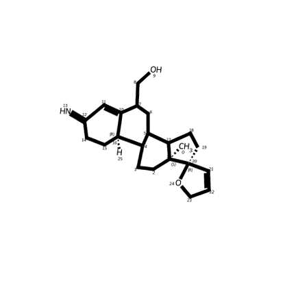 C[C@]12CCC3C(CC(CO)C4=CC(=N)CC[C@@H]43)C1CC[C@@]21C=CCO1